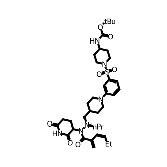 C=C(/C=C\CC)C(=O)N(C1CCC(=O)NC1=O)N(CCC)CC1CCN(c2cccc(S(=O)(=O)N3CCC(NC(=O)OC(C)(C)C)CC3)c2)CC1